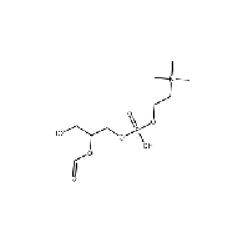 C[N+](C)(C)CCOP(=O)(O)OCC(CO)OC=O